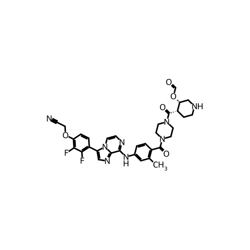 Cc1cc(Nc2nccn3c(-c4ccc(OCC#N)c(F)c4F)cnc23)ccc1C(=O)N1CCN(C(=O)[C@H]2CCNC[C@H]2OC=O)CC1